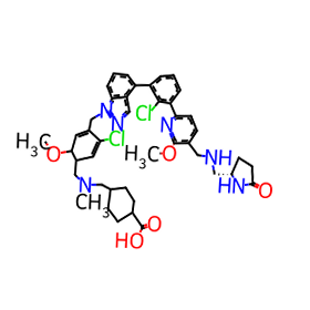 COc1nc(-c2cccc(-c3cccc4c3cnn4CC3=CC(OC)C(CN(C)CC4CCC(C(=O)O)CC4)C=C3Cl)c2Cl)ccc1CNC[C@@H]1CCC(=O)N1